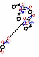 O=C(CNC(=O)c1ccc(C(=O)O)cc1)OCCCCCCCCCCCCNC(=O)[C@@H]1CN(C(=O)c2ccc(C(=O)N3C[C@@H](C(=O)N[C@H]4C[C@@H]4c4ccccc4)[C@H](C(=O)N[C@H]4C[C@@H]4c4ccccc4)C3)cc2)C[C@H]1C(=O)N[C@H]1C[C@@H]1c1ccccc1